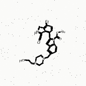 CCc1ccc(-c2cc3cc(CN4CCN(CCO)CC4)ccc3n2C(=O)OC(C)(C)C)c2c1CNC2=O